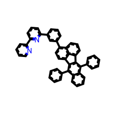 c1ccc(-c2c3c(c(-c4ccccc4)c4ccccc24)-c2ccc(-c4cccc(-c5cccc(-c6ccccn6)n5)c4)c4cccc-3c24)cc1